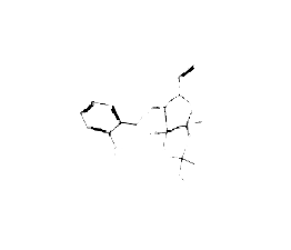 C=C[C@H]1O[C@@H]2OC(C)(CC)O[C@@H]2[C@H]1OCc1ccccc1Cl